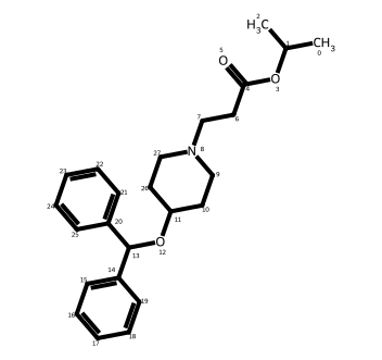 CC(C)OC(=O)CCN1CCC(OC(c2ccccc2)c2ccccc2)CC1